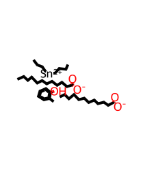 CCCCCCCCCCCC(=O)[O-].CCCCCCCCCCCC(=O)[O-].CCC[CH2][Sn+2][CH2]CCC.Cc1ccccc1O